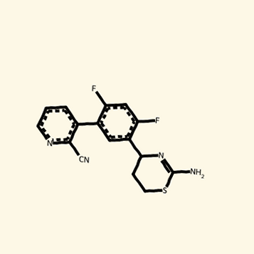 N#Cc1ncccc1-c1cc(C2CCSC(N)=N2)c(F)cc1F